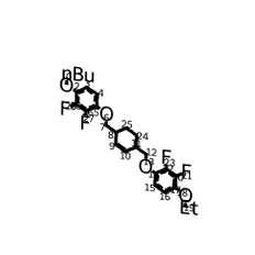 CCCCOc1ccc(OCC2C=CC(COc3ccc(OCC)c(F)c3F)CC2)c(F)c1F